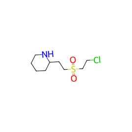 O=S(=O)(CCCl)CCC1CCCCN1